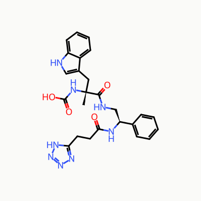 C[C@](Cc1c[nH]c2ccccc12)(NC(=O)O)C(=O)NC[C@H](NC(=O)CCc1nnn[nH]1)c1ccccc1